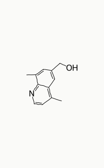 Cc1ccnc2c(C)cc(CO)cc12